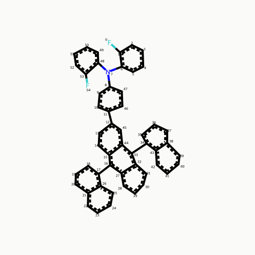 Fc1ccccc1N(c1ccc(-c2ccc3c(-c4cccc5ccccc45)c4ccccc4c(-c4cccc5ccccc45)c3c2)cc1)c1ccccc1F